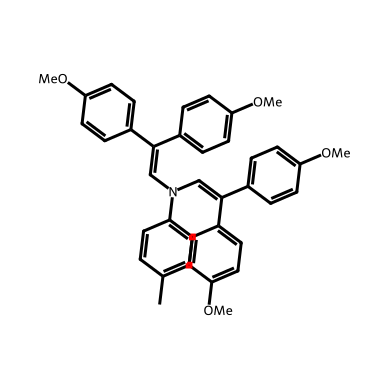 COc1ccc(C(=CN(C=C(c2ccc(OC)cc2)c2ccc(OC)cc2)c2ccc(C)cc2)c2ccc(OC)cc2)cc1